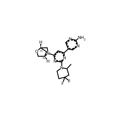 CC1CC(F)(F)CCN1c1nc(-c2cnc(N)nc2)cc(N2C[C@@H]3C[C@H]2CO3)n1